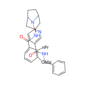 CCCc1c(OC)cccc1C(=O)NC1CC2CCC(C1)N2c1ccc(C(=O)NCc2ccccc2)cn1